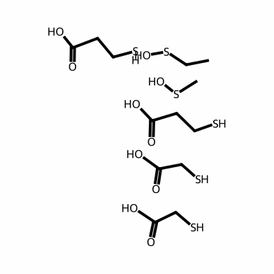 CCSO.CSO.O=C(O)CCS.O=C(O)CCS.O=C(O)CS.O=C(O)CS